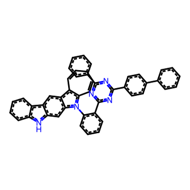 C1=Cc2c(n(-c3ccccc3-c3nc(-c4ccccc4)nc(-c4ccc(-c5ccccc5)cc4)n3)c3cc4[nH]c5ccccc5c4cc23)C=CC1